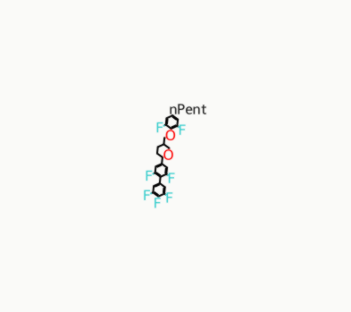 CCCCCc1cc(F)c(OCC2CCC(c3cc(F)c(-c4cc(F)c(F)c(F)c4)c(F)c3)OC2)c(F)c1